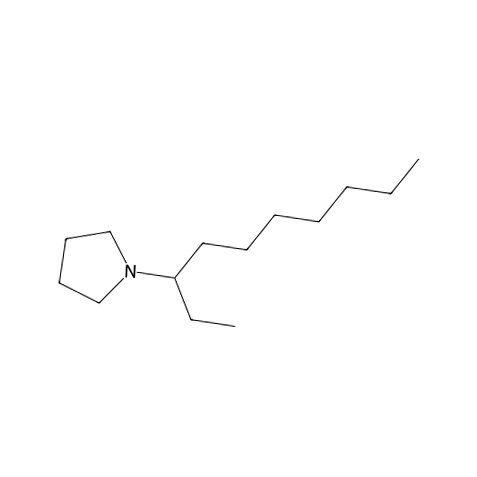 CCCCCCCC(CC)N1CCCC1